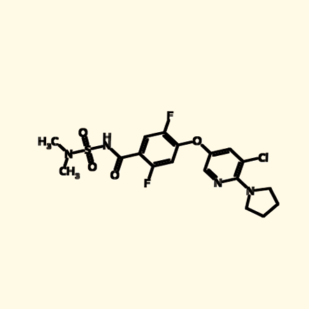 CN(C)S(=O)(=O)NC(=O)c1cc(F)c(Oc2cnc(N3CCCC3)c(Cl)c2)cc1F